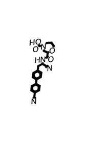 N#Cc1ccc(-c2ccc(CC(C#N)NC(=O)C3CN(C(=O)O)CCCO3)cc2)cc1